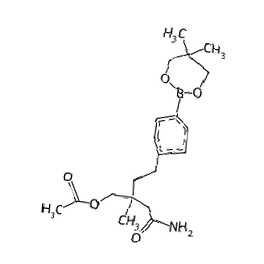 CC(=O)OCC(C)(CCc1ccc(B2OCC(C)(C)CO2)cc1)CC(N)=O